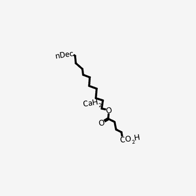 CCCCCCCCCCCCCCCCCCCCOC(=O)CCCC(=O)O.[CaH2]